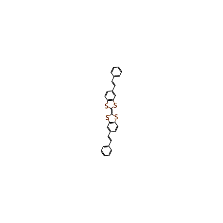 C(=C\c1ccc2c(c1)S/C(=C1\Sc3ccc(/C=C/c4ccccc4)cc3S1)S2)/c1ccccc1